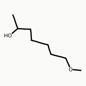 COCCC[CH]CC(C)O